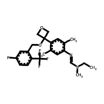 CCN(C)C=Nc1cc(C)c(C2(OCc3cc(F)ccc3C(F)(F)F)COC2)cc1C